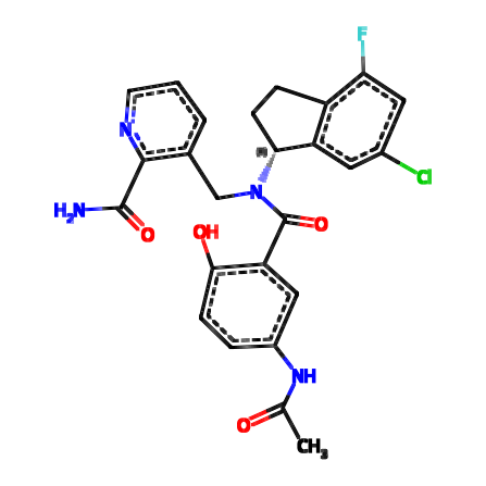 CC(=O)Nc1ccc(O)c(C(=O)N(Cc2cccnc2C(N)=O)[C@@H]2CCc3c(F)cc(Cl)cc32)c1